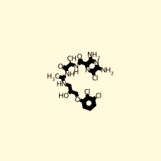 CC(NCC(O)COc1cccc(Cl)c1Cl)NC(=O)[C@H](C)NC(=O)c1nc(Cl)c(N)nc1N